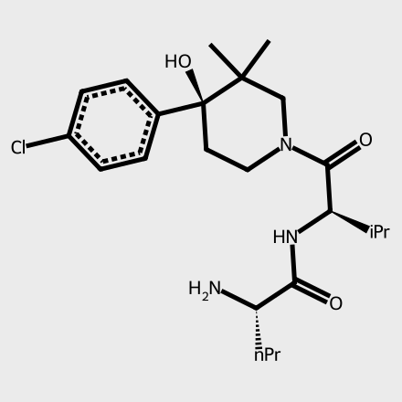 CCC[C@H](N)C(=O)N[C@@H](C(=O)N1CC[C@](O)(c2ccc(Cl)cc2)C(C)(C)C1)C(C)C